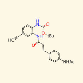 C#Cc1ccc(NC(=O)OC(C)(C)C)c(NC(=O)C=Cc2ccc(NC(C)=O)cc2)c1